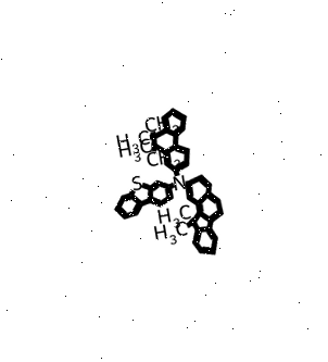 CC1(C)c2ccccc2-c2ccc3ccc(N(c4ccc5c(c4)C(C)(C)C(C)(C)c4ccccc4-5)c4ccc5c(c4)sc4ccccc45)cc3c21